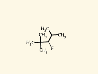 CC(C)[C@H](F)C(C)(C)C